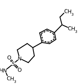 CCC(C)c1ccc(C2CCN(S(=O)(=O)NC)CC2)cc1